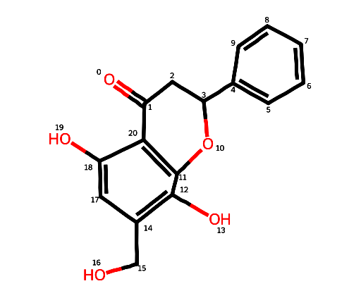 O=C1CC(c2ccccc2)Oc2c(O)c(CO)cc(O)c21